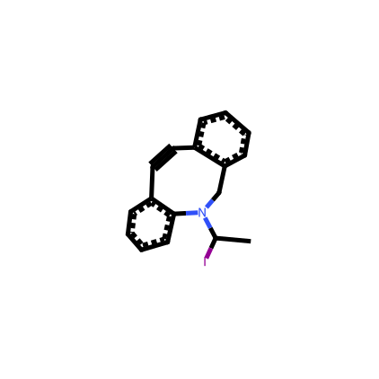 CC(I)N1Cc2ccccc2C#Cc2ccccc21